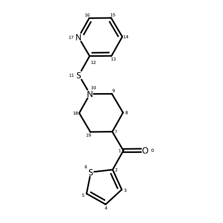 O=C(c1cccs1)C1CCN(Sc2ccccn2)CC1